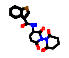 O=C(NC1CCC(=O)N(N2C(=O)CCCC2=O)C1=O)c1csc2ccccc12